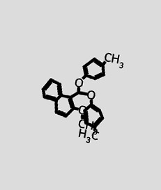 COc1ccc2ccccc2c1C(Oc1ccc(C)cc1)Oc1ccc(C)cc1